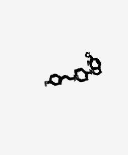 Fc1ccc(CCN2CCC(N3CCc4ccc(Cl)nc43)CC2)cc1